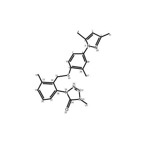 Cc1cc(C)n(-c2ccc(SCc3c(C)cccc3-n3nnn(C)c3=O)c(C)c2)n1